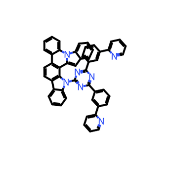 c1ccc(-c2cccc(-c3nc(-c4cccc(-c5ccccn5)c4)nc(-n4c5ccccc5c5ccc6c7ccccc7n7c8ccccc8cc7c6c54)n3)c2)nc1